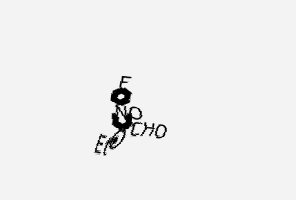 CCOc1ccn(-c2ccc(F)cc2)c(=O)c1C=O